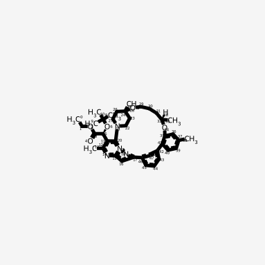 CCOC(=O)[C@@H](OC(C)(C)C)c1c(C)nc2cc3nn2c1N1CCC(C)(CC1)OCCC[C@H](C)Oc1cc(C)ccc1-c1cccc-3c1